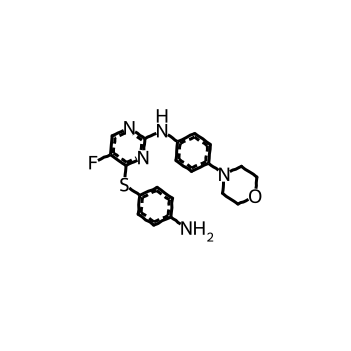 Nc1ccc(Sc2nc(Nc3ccc(N4CCOCC4)cc3)ncc2F)cc1